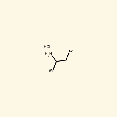 CC(=O)CC(N)C(C)C.Cl